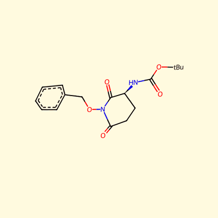 CC(C)(C)OC(=O)N[C@H]1CCC(=O)N(OCc2ccccc2)C1=O